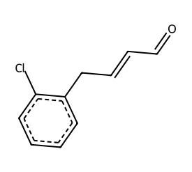 O=CC=CCc1ccccc1Cl